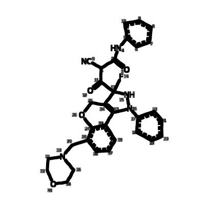 N#CC(C(=O)Nc1ccccc1)C(=O)C1(F)NN(c2ccccc2)C2=C1COc1c(CN3CCOCC3)cccc12